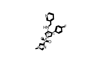 Cn1cnc(S(=O)(=O)N2C[C@H](NCc3cccnc3)[C@@H](c3ccc(F)cc3)C2)c1